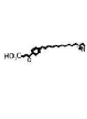 O=C(O)CCC(=O)c1ccc(CCCCCCCCCCCn2ccnc2)cc1